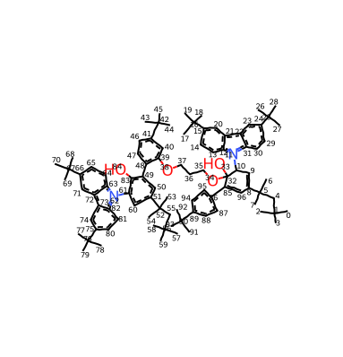 CC(C)(C)CC(C)(C)C1=CC(n2c3ccc(C(C)(C)C)cc3c3cc(C(C)(C)C)ccc32)C(O)(OCCCOc2cc(C(C)(C)C)ccc2-c2cc(C(C)(C)CC(C)(C)C)cc(-n3c4ccc(C(C)(C)C)cc4c4cc(C(C)(C)C)ccc43)c2O)C(c2ccc(C(C)(C)C)cc2)=C1